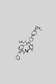 Cc1c(-c2cccc(OCc3ccccc3)c2)c2c(N)ncnc2n1[C@H]1CC[C@H](N2CCN(C)CC2)CC1